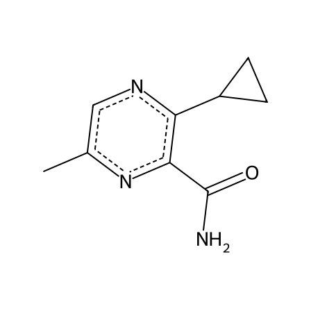 Cc1cnc(C2CC2)c(C(N)=O)n1